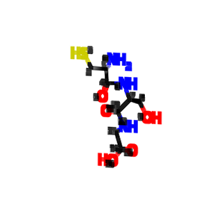 N[C@@H](CS)C(=O)N[C@@H](CO)C(=O)NCC(=O)O